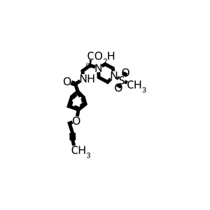 CC#CCOc1ccc(C(=O)NC[C@@H](C(=O)O)N2CCN(S(C)(=O)=O)CC2)cc1